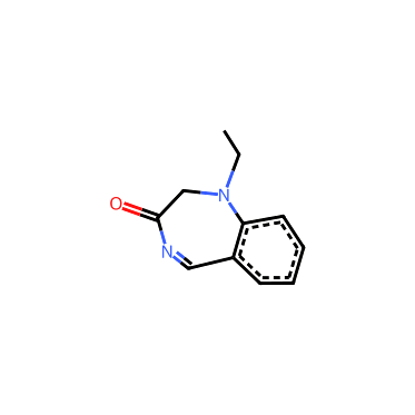 CCN1CC(=O)N=Cc2ccccc21